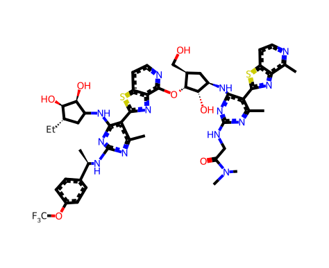 CC[C@H]1CC(Nc2nc(N[C@H](C)c3ccc(OC(F)(F)F)cc3)nc(C)c2-c2nc3c(O[C@@H]4[C@@H](CO)C[C@@H](Nc5nc(NCC(=O)N(C)C)nc(C)c5-c5nc6c(C)nccc6s5)[C@@H]4O)nccc3s2)[C@H](O)[C@@H]1O